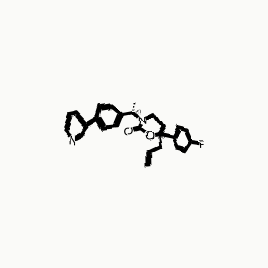 C=CC[C@]1(c2ccc(F)cc2)CCN([C@@H](C)c2ccc(-c3cccnc3)cc2)C(=O)O1